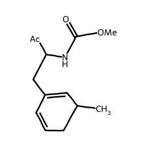 COC(=O)NC(CC1=CC(C)CC=C1)C(C)=O